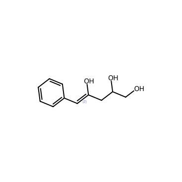 OCC(O)C/C(O)=C/c1ccccc1